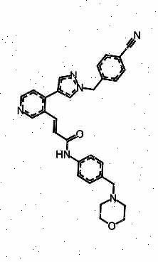 N#Cc1ccc(Cn2cc(-c3ccncc3C=CC(=O)Nc3ccc(CN4CCOCC4)cc3)cn2)cc1